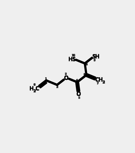 C=CCOC(=O)C(=C)C(S)S